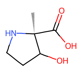 C[C@@]1(C(=O)O)NCCC1O